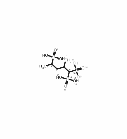 CC(CC(C)P(=O)(O)O)C(P(=O)(O)O)P(=O)(O)O